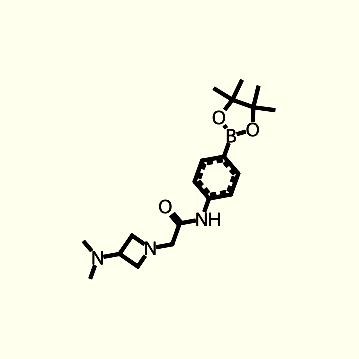 CN(C)C1CN(CC(=O)Nc2ccc(B3OC(C)(C)C(C)(C)O3)cc2)C1